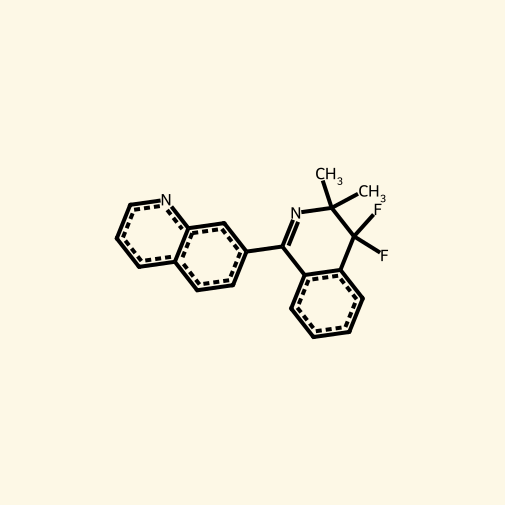 CC1(C)N=C(c2ccc3cccnc3c2)c2ccccc2C1(F)F